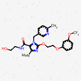 CNc1nc(OCCOc2cccc(OC(F)(F)F)c2)n(Cc2ccc(C)nc2)c1C(=O)NCCO